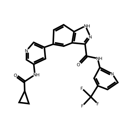 O=C(Nc1cc(C(F)(F)F)ccn1)c1n[nH]c2ccc(-c3cncc(NC(=O)C4CC4)c3)cc12